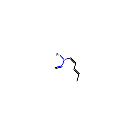 C=NN(/C=C\C=C\C)C(C)C